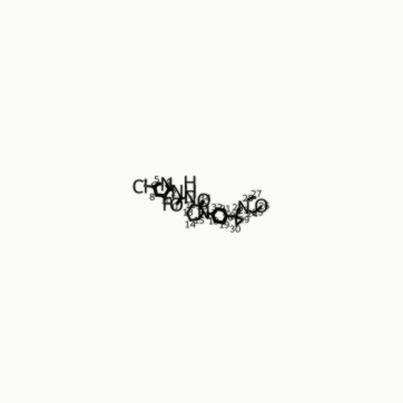 O=C(Nc1ncc(Cl)cc1F)NC1CCCN(c2ccc(C3(CN4CCOCC4)CC3)cc2)C1=O